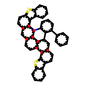 c1ccc(-c2ccccc2-c2c(-c3ccccc3)cccc2N(c2cccc(-c3cccc4c3sc3ccccc34)c2)c2cccc3sc4ccccc4c23)cc1